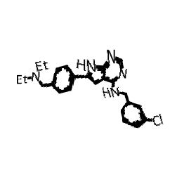 CCN(CC)Cc1ccc(-c2cc3c(NCc4cccc(Cl)c4)ncnc3[nH]2)cc1